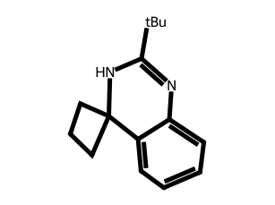 CC(C)(C)C1=Nc2ccccc2C2(CCC2)N1